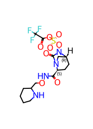 O=C(NOCC1CCCCN1)[C@@H]1CC[C@@H]2CN1C(=O)N2OS(=O)(=O)OC(=O)C(F)(F)F